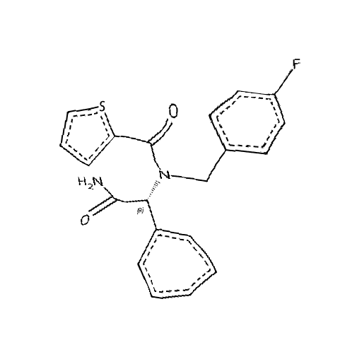 NC(=O)[C@@H](c1ccccc1)N(Cc1ccc(F)cc1)C(=O)c1cccs1